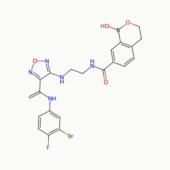 C=C(Nc1ccc(F)c(Br)c1)c1nonc1NCCNC(=O)c1ccc2c(c1)B(O)OCC2